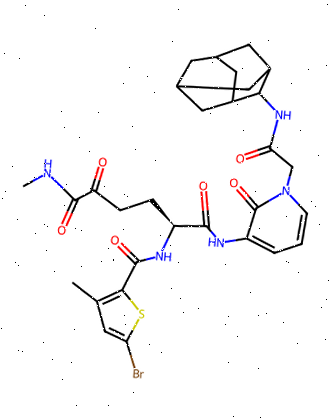 CNC(=O)C(=O)CC[C@H](NC(=O)c1sc(Br)cc1C)C(=O)Nc1cccn(CC(=O)NC2C3CC4CC(C3)CC2C4)c1=O